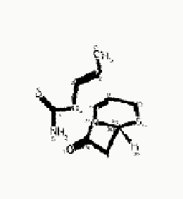 CC=COC(N)=O.O=C1C[C@H]2SCC=CN12